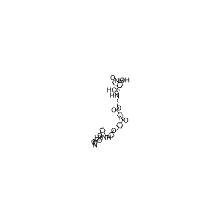 O=C(NC(c1ccccc1)c1cccc(OCc2ccc(C(=O)N3CCC(C(=O)OCCCCNC[C@H](O)c4ccc(O)c5[nH]c(=O)ccc45)CC3)cc2)c1)O[C@H]1CN2CCC1CC2